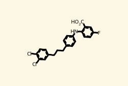 O=C(O)c1cc(F)ccc1Nc1ccc(CCCc2ccc(Cl)c(Cl)c2)cc1